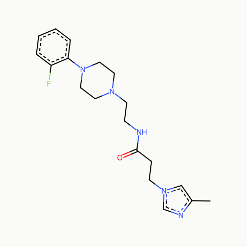 Cc1cn(CCC(=O)NCCN2CCN(c3ccccc3F)CC2)cn1